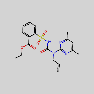 C=CCN(C(=O)NS(=O)(=O)c1ccccc1C(=O)OCC)c1nc(C)cc(C)n1